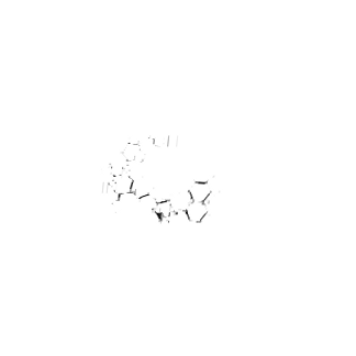 O=c1[nH]c(=O)n([C@H]2CC[C@@H](CO)O2)cc1/C=C/c1cn(-c2cccc3ccccc23)nn1